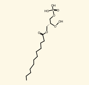 CCCCCCCCCCCC(=O)OC[C@H](COP(=O)(O)O)OO